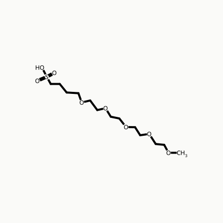 COCCOCCOCCOCCOCCCCS(=O)(=O)O